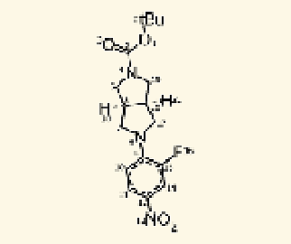 CC(C)(C)OC(=O)N1C[C@@H]2CN(c3ccc([N+](=O)[O-])cc3F)C[C@@H]2C1